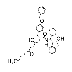 CCCCCC(=O)CCC(O)CC(Cc1ccc(OCc2ccccc2)cc1)C(=O)N[C@H](C1CCCCC1)[C@@H]1c2ccccc2C[C@@H]1O